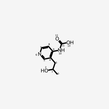 CC(O)Cc1cnccc1NC(=O)O